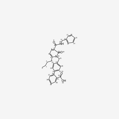 CCCCc1ccc(C(=O)NCc2ccccc2)c(=O)n1Cc1ccc(-c2ccccc2C(=O)O)cc1